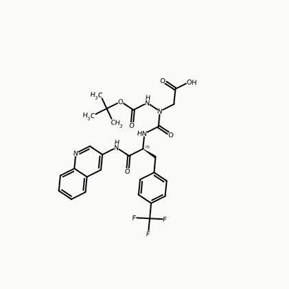 CC(C)(C)OC(=O)NN(CC(=O)O)C(=O)N[C@@H](Cc1ccc(C(F)(F)F)cc1)C(=O)Nc1cnc2ccccc2c1